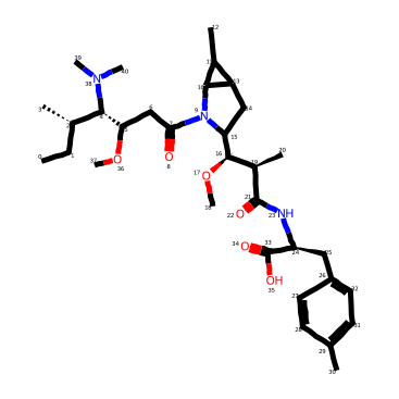 CC[C@H](C)[C@@H](C(CC(=O)N1C2C(C)C2CC1[C@H](OC)[C@@H](C)C(=O)N[C@@H](Cc1ccc(C)cc1)C(=O)O)OC)N(C)C